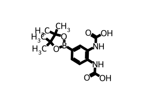 CC1(C)OB(c2ccc(NC(=O)O)c(NC(=O)O)c2)OC1(C)C